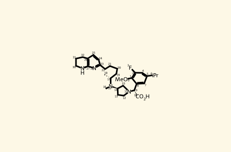 COc1c(F)cc(C(C)C)cc1[C@H](C(=O)O)N1CC[C@@H](N(C)[C@H](C)CCCCc2ccc3c(n2)NCCC3)C1